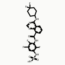 CCCS(=O)(=O)Nc1cc(F)c(F)c(NC(=O)c2cccc3c(NC4CCC(F)(F)CC4)ncnc23)c1F